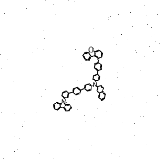 c1cc(-c2ccc(-c3ccc(N(c4ccc(-c5ccc(-c6cccc7oc8ccccc8c67)cc5)cc4)c4ccc5ccccc5c4)cc3)cc2)cc(-n2c3ccccc3c3ccccc32)c1